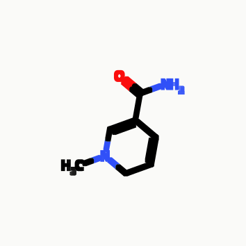 CN1C=C(C(N)=O)C=CC1